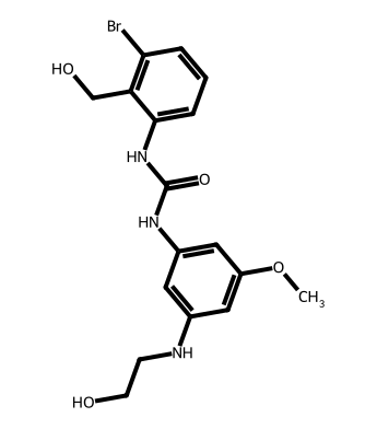 COc1cc(NCCO)cc(NC(=O)Nc2cccc(Br)c2CO)c1